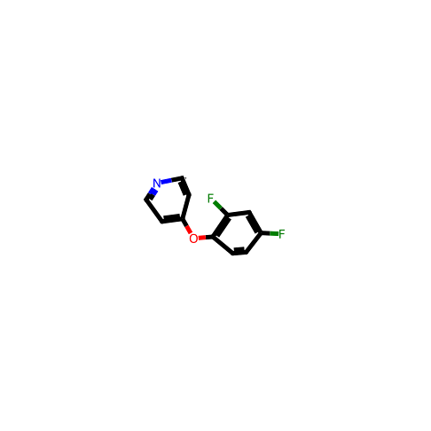 Fc1ccc(Oc2c[c]ncc2)c(F)c1